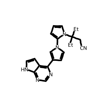 CCC(CC)(CC#N)n1cccc1-n1ccc(-c2ncnc3[nH]ccc23)c1